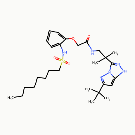 CCCCCCCCS(=O)(=O)Nc1ccccc1OCC(=O)NCC(C)(C)c1n[nH]c2cc(C(C)(C)C)nn12